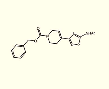 CC(=O)Nc1nc(C2=CCN(C(=O)OCc3ccccc3)CC2)cs1